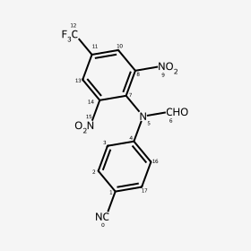 N#Cc1ccc(N(C=O)c2c([N+](=O)[O-])cc(C(F)(F)F)cc2[N+](=O)[O-])cc1